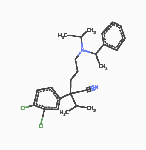 CC(C)N(CCCC(C#N)(c1ccc(Cl)c(Cl)c1)C(C)C)C(C)c1ccccc1